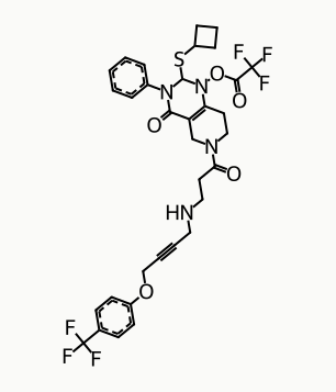 O=C(CCNCC#CCOc1ccc(C(F)(F)F)cc1)N1CCC2=C(C1)C(=O)N(c1ccccc1)C(SC1CCC1)N2OC(=O)C(F)(F)F